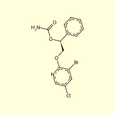 NC(=O)O[C@H](COc1ncc(Cl)cc1Br)c1ccccc1